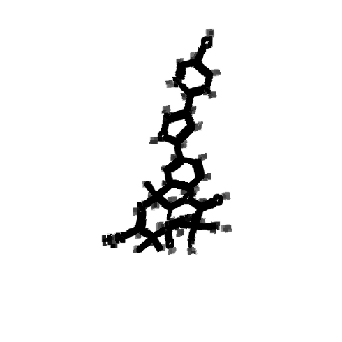 CC1(C)C(N)=N[C@](C)(c2cc(-c3cc(-c4ncc(Cl)cn4)no3)ccc2F)C(OC(=O)C(F)(F)F)[S@]1(=N)=O